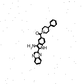 Nc1c(-c2cnc3ccccc3n2)[nH]c2ccc(C(=O)N3CCC(c4ccccc4)CC3)cc12